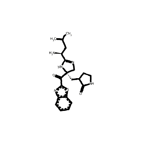 CC(C)C[C@H](N)C1=NC[C@@](CC2CCNC2=O)(C(=O)c2nc3ccccc3s2)N1